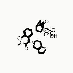 CC1(C)C2CC[C@]1(CS(=O)(=O)O)C(=O)C2.COC(=O)[C@H](c1ccccc1Cl)N1CCc2sccc2C1